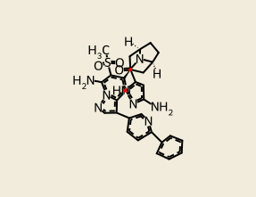 CS(=O)(=O)c1c([C@H]2C[C@H]3CC[C@@H](C2)N3C(=O)c2cc(N)n[nH]2)nc2c(-c3ccc(-c4ccccc4)nc3)cnn2c1N